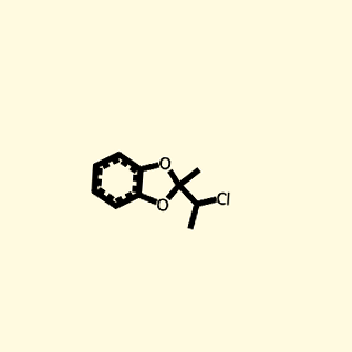 CC(Cl)C1(C)Oc2ccccc2O1